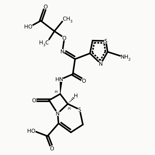 CC(C)(ON=C(C(=O)N[C@@H]1C(=O)N2C(C(=O)O)=CCS[C@H]12)c1csc(N)n1)C(=O)O